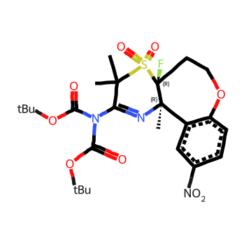 CC(C)(C)OC(=O)N(C(=O)OC(C)(C)C)C1=N[C@]2(C)c3cc([N+](=O)[O-])ccc3OCC[C@@]2(F)S(=O)(=O)C1(C)C